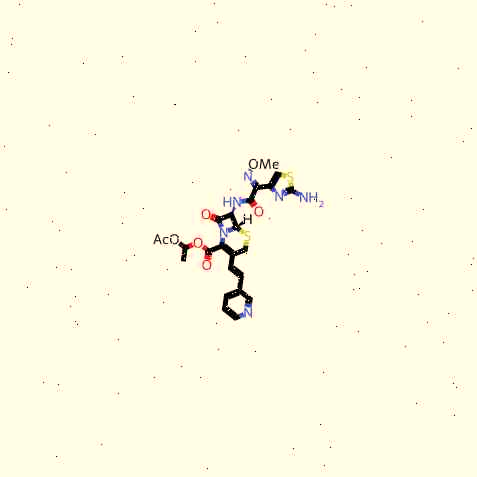 CON=C(C(=O)N[C@@H]1C(=O)N2C(C(=O)OC(C)OC(C)=O)=C(/C=C/c3cccnc3)CS[C@@H]12)c1csc(N)n1